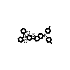 Cc1ccc(N(c2ccc(C)cc2)c2ccc3c(ccc4c5cc6c7c(c5sc34)Oc3ccccc3B7c3ccccc3O6)c2)cc1